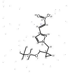 CC(C)(C)[Si](C)(C)OCC1(Cn2ccc(/C=C/[N+](=O)[O-])n2)CC1